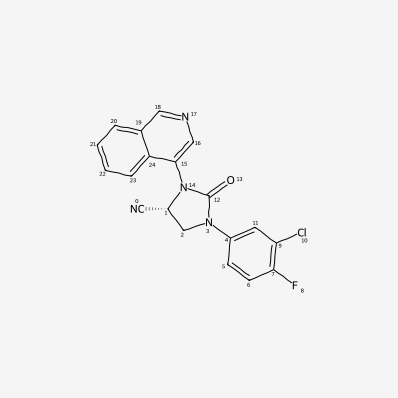 N#C[C@H]1CN(c2ccc(F)c(Cl)c2)C(=O)N1c1cncc2ccccc12